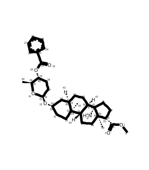 COC(=O)[C@H]1CC[C@]2(N)[C@@H]3CC[C@@H]4C[C@@H](O[C@@H]5CC[C@@H](OC(=O)c6ccccc6)[C@H](C)O5)CC[C@]4(C)[C@H]3CC[C@]12C